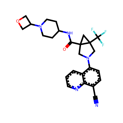 N#Cc1ccc(N2CC3(C(=O)NC4CCN(C5COC5)CC4)CC3(C(F)(F)F)C2)c2cccnc12